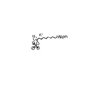 CCCCCCCCCCCCCCCCCC(C)OS(=O)(=O)[O-].[K+]